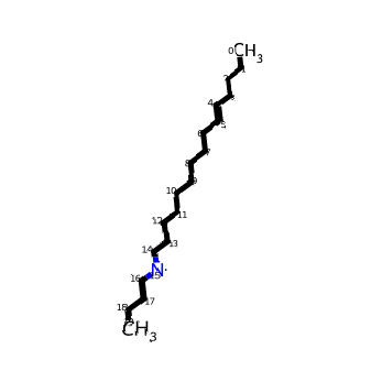 CCCCC=CCCCCCCCCC[N]CCCC